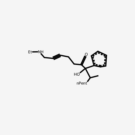 CCCCCC(C)C(O)(C(=O)CCC#CCNCC)c1ccccc1